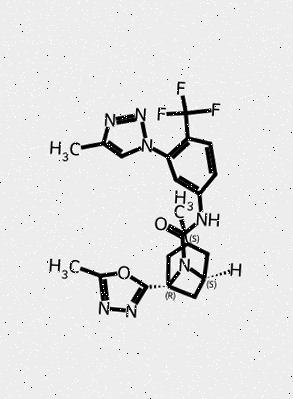 Cc1cn(-c2cc(NC(=O)N3[C@H]4C[C@H](C)C[C@]3(c3nnc(C)o3)C4)ccc2C(F)(F)F)nn1